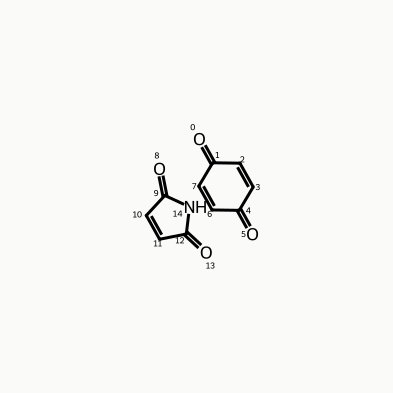 O=C1C=CC(=O)C=C1.O=C1C=CC(=O)N1